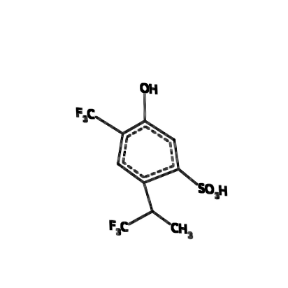 CC(c1cc(C(F)(F)F)c(O)cc1S(=O)(=O)O)C(F)(F)F